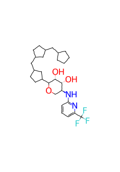 O[C@@H]1[C@@H](Nc2cccc(C(F)(F)F)n2)COC(C2CCC(CC3CCC(CC4CCCC4)C3)C2)[C@@H]1O